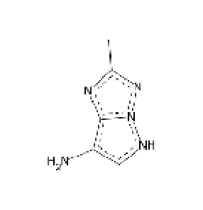 Cc1nc2c(N)c[nH]n2n1